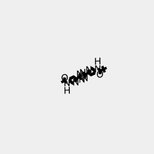 CC(=O)Nc1ccc(-c2nnc(-c3ccc(NC(=O)C(C)(C)C)cn3)nn2)nc1